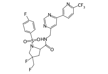 O=C(NCc1cc(-c2ccc(C(F)(F)F)nc2)ncn1)C1CC(F)(CF)CN1S(=O)(=O)c1ccc(F)cc1